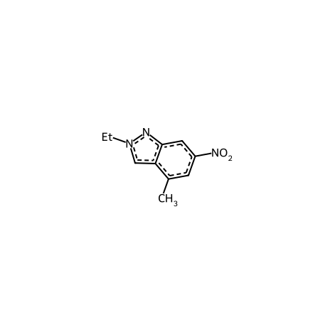 CCn1cc2c(C)cc([N+](=O)[O-])cc2n1